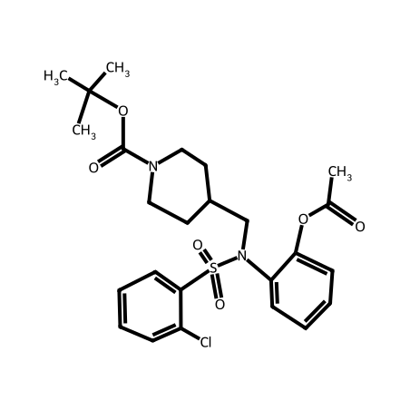 CC(=O)Oc1ccccc1N(CC1CCN(C(=O)OC(C)(C)C)CC1)S(=O)(=O)c1ccccc1Cl